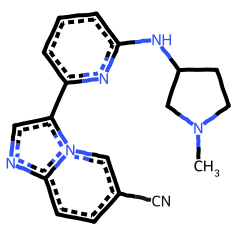 CN1CCC(Nc2cccc(-c3cnc4ccc(C#N)cn34)n2)C1